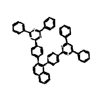 c1ccc(-c2cc(-c3ccccc3)nc(-c3ccc(-c4c(-c5ccc(-c6nc(-c7ccccc7)nc(-c7ccccc7)n6)cc5)ccc5ccccc45)cc3)n2)cc1